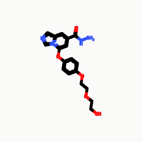 NNC(=O)c1cc(Oc2ccc(OCCOCCO)cc2)n2cncc2c1